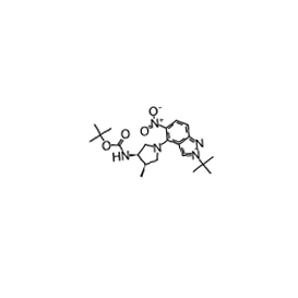 C[C@@H]1CN(c2c([N+](=O)[O-])ccc3nn(C(C)(C)C)cc23)C[C@@H]1NC(=O)OC(C)(C)C